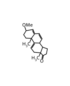 COC1C=C2C=CC3C(=CCC4(C)C(=O)CCC34)C2(C)CC1